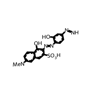 CNc1ccc2c(O)c(N=Nc3ccc(N=N)cc3O)c(S(=O)(=O)O)cc2c1